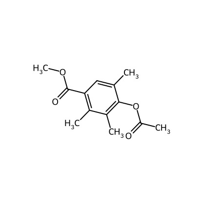 COC(=O)c1cc(C)c(OC(C)=O)c(C)c1C